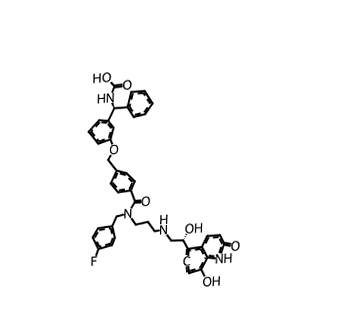 O=C(O)N[C@@H](c1ccccc1)c1cccc(OCc2ccc(C(=O)N(CCCNC[C@H](O)c3ccc(O)c4[nH]c(=O)ccc34)Cc3ccc(F)cc3)cc2)c1